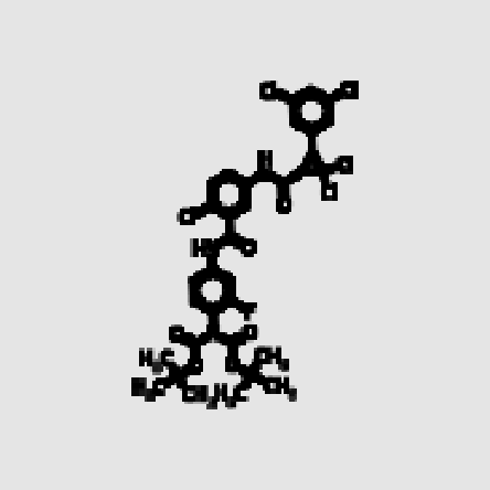 CC(C)(C)OC(=O)N(C(=O)OC(C)(C)C)c1ccc(NC(=O)c2cc(NC(=O)C3C(c4cc(Cl)cc(Cl)c4)C3(Cl)Cl)ccc2Cl)cc1F